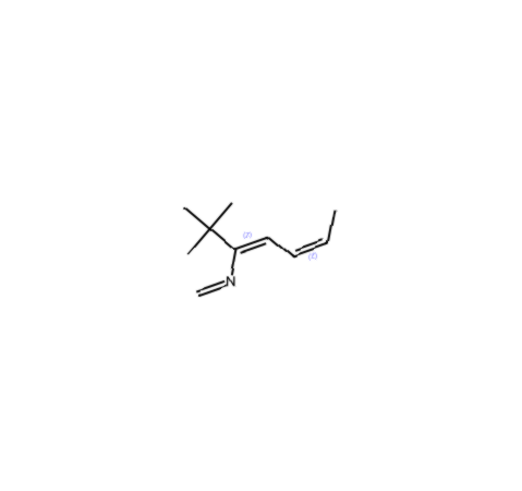 C=N/C(=C\C=C/C)C(C)(C)C